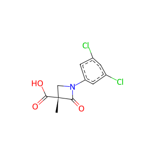 C[C@@]1(C(=O)O)CN(c2cc(Cl)cc(Cl)c2)C1=O